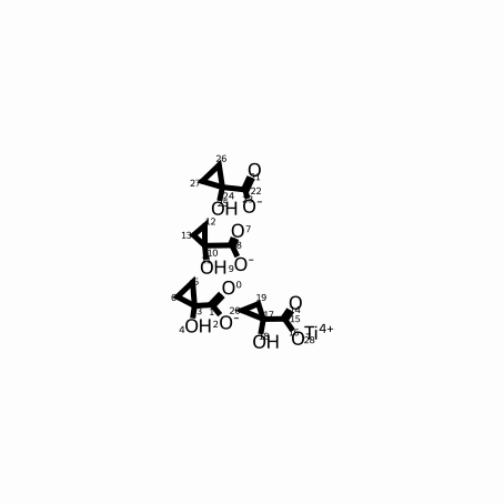 O=C([O-])C1(O)CC1.O=C([O-])C1(O)CC1.O=C([O-])C1(O)CC1.O=C([O-])C1(O)CC1.[Ti+4]